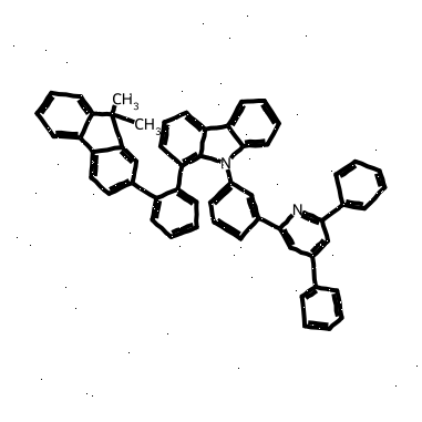 CC1(C)c2ccccc2-c2ccc(-c3ccccc3-c3cccc4c5ccccc5n(-c5cccc(-c6cc(-c7ccccc7)cc(-c7ccccc7)n6)c5)c34)cc21